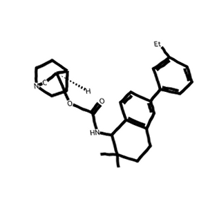 CCc1cccc(-c2ccc3c(c2)CCC(C)(C)C3NC(=O)O[C@H]2CN3CCC2CC3)c1